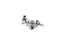 CC(C)[C@@H](CNS(=O)(=O)C1CC1)NC(=O)N[C@H](C(=O)N1C[C@H]2[C@@H]([C@H]1C(=O)NC(C(=O)C(N)=O)C1CC1)C2(C)C)C(C)(C)C